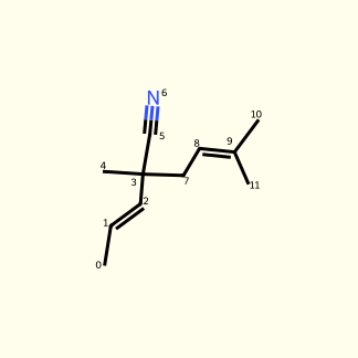 CC=CC(C)(C#N)CC=C(C)C